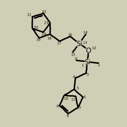 C[Si](C)(CCC1CC2C=CC1C2)O[Si](C)(C)CCC1CC2C=CC1C2